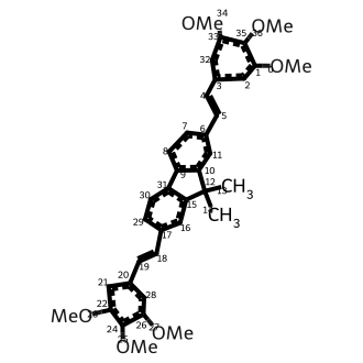 COc1cc(/C=C/c2ccc3c(c2)C(C)(C)c2cc(/C=C/c4cc(OC)c(OC)c(OC)c4)ccc2-3)cc(OC)c1OC